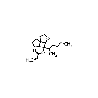 C=CC(=O)OC1(C(C)CCCC)C2CCCC23CCOC31